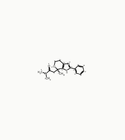 CN(C)C(=O)CC1(C)OCCc2nc(-c3ccccc3)sc21